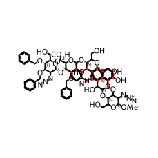 CO[C@H]1OC(CO)[C@@H](O[C@@H]2OC(C(O)O)[C@@H](O[C@H]3OC(CO)[C@@H](O[C@@H]4OC(C(=O)C(=O)O)[C@@H](O[C@H]5OC(CO)[C@@H](OCc6ccccc6)C(OCc6ccccc6)C5N=[N+]=[N-])C(OCc5ccccc5)C4OCc4ccccc4)C(O)C3N=[N+]=[N-])C(OCc3ccccc3)C2O)C(OCc2ccccc2)C1N=[N+]=[N-]